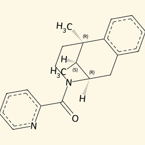 C[C@@H]1[C@H]2Cc3ccccc3[C@]1(C)CCN2C(=O)c1ccccn1